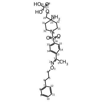 C/C(=N\OCCCc1ccccc1)c1ccc(S(=O)(=O)N2CCC(N)(COP(=O)(O)O)CC2)cc1